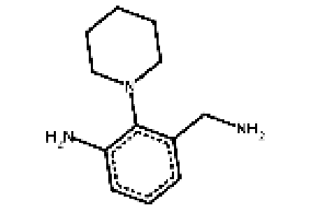 NCc1cccc(N)c1N1CCCCC1